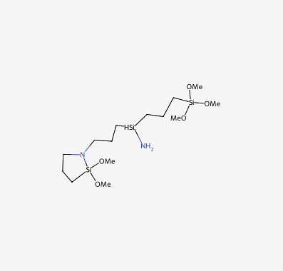 CO[Si](CCC[SiH](N)CCCN1CCC[Si]1(OC)OC)(OC)OC